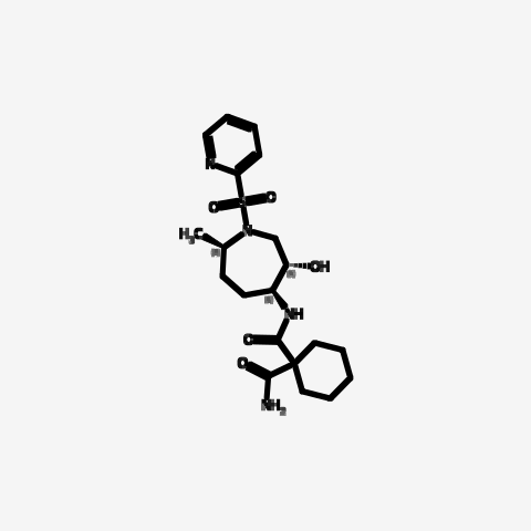 C[C@@H]1CC[C@H](NC(=O)C2(C(N)=O)CCCCC2)[C@@H](O)CN1S(=O)(=O)c1ccccn1